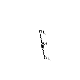 CCCCCCCCCCCC[SH](S)CCCCCCCCCC